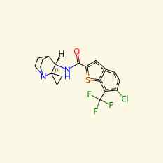 O=C(N[C@H]1C2CCN(CC2)C12CC2)c1cc2ccc(Cl)c(C(F)(F)F)c2s1